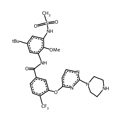 COc1c(NC(=O)c2ccc(C(F)(F)F)c(Oc3ccnc(N4CCNCC4)n3)c2)cc(C(C)(C)C)cc1NS(C)(=O)=O